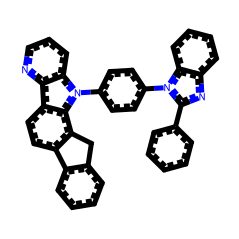 c1ccc(-c2nc3ccccc3n2-c2ccc(-n3c4cccnc4c4ccc5c(c43)Cc3ccccc3-5)cc2)cc1